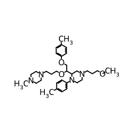 COCCCN1CCN(c2ccc(C)cc2)C(C(COc2ccc(C)cc2)OCCCN2CCN(C)CC2)C1